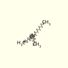 CCCCCCCCCCn1cc[n+](CCCCC)c1CCCC